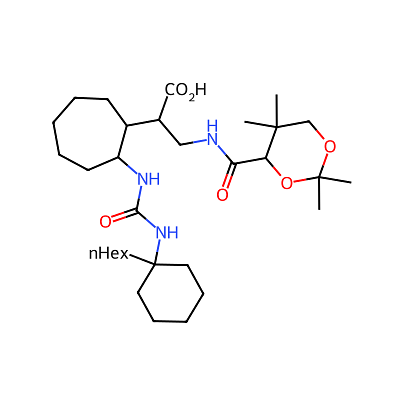 CCCCCCC1(NC(=O)NC2CCCCCC2C(CNC(=O)C2OC(C)(C)OCC2(C)C)C(=O)O)CCCCC1